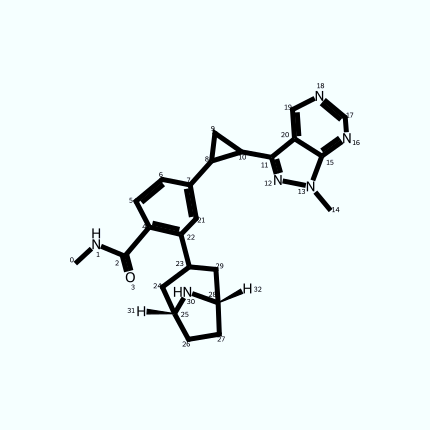 CNC(=O)c1ccc(C2CC2c2nn(C)c3ncncc23)cc1C1C[C@H]2CC[C@@H](C1)N2